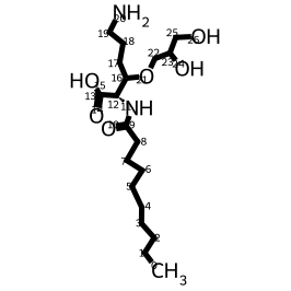 CCCCCCCCCC(=O)N[C@H](C(=O)O)C(CCCN)OCC(O)CO